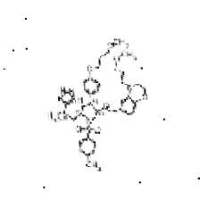 COCCCOc1ccc([C@H]2C[C@H](C[C@@H](C)c3nnn[nH]3)N(S(=O)(=O)c3ccc(C)cc3)C[C@@H]2OCc2ccc3c(c2)N(CCCOC)CCO3)cc1